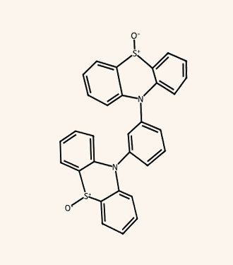 [O-][S+]1c2ccccc2N(c2cccc(N3c4ccccc4[S+]([O-])c4ccccc43)c2)c2ccccc21